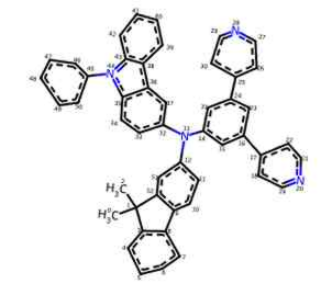 CC1(C)c2ccccc2-c2ccc(N(c3cc(-c4ccncc4)cc(-c4ccncc4)c3)c3ccc4c(c3)c3ccccc3n4-c3ccccc3)cc21